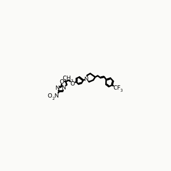 C[C@]1(COc2ccc(N3CCC(C/C=C/c4ccc(C(F)(F)F)cc4)CC3)cc2)Cn2cc([N+](=O)[O-])nc2O1